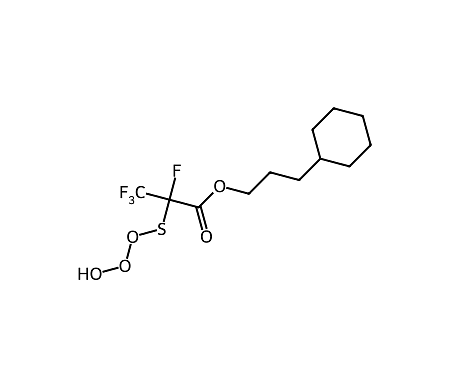 O=C(OCCCC1CCCCC1)C(F)(SOOO)C(F)(F)F